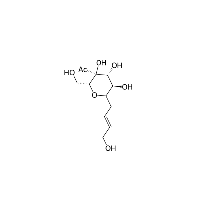 CC(=O)[C@]1(O)[C@H](O)[C@@H](O)C(CC=CCO)O[C@@H]1CO